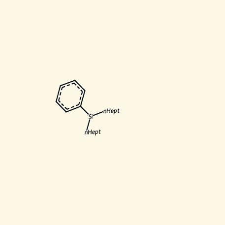 CCCCCCC[Si](CCCCCCC)c1ccccc1